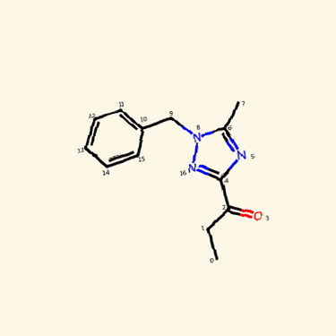 CCC(=O)c1nc(C)n(Cc2ccccc2)n1